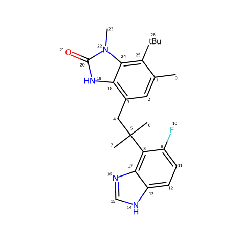 Cc1cc(CC(C)(C)c2c(F)ccc3[nH]cnc23)c2[nH]c(=O)n(C)c2c1C(C)(C)C